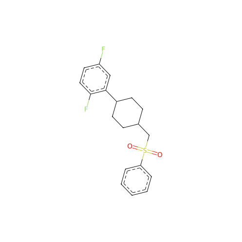 O=S(=O)(CC1CCC(c2cc(F)ccc2F)CC1)c1ccccc1